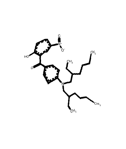 CCCCC(CC)CN(CC(CC)CCCC)c1ccc(C(=O)c2cc([N+](=O)[O-])ccc2O)cc1